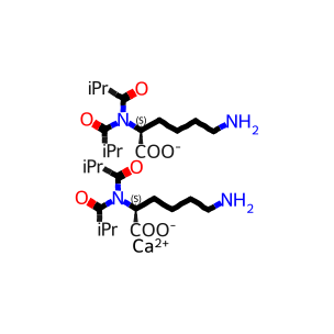 CC(C)C(=O)N(C(=O)C(C)C)[C@@H](CCCCN)C(=O)[O-].CC(C)C(=O)N(C(=O)C(C)C)[C@@H](CCCCN)C(=O)[O-].[Ca+2]